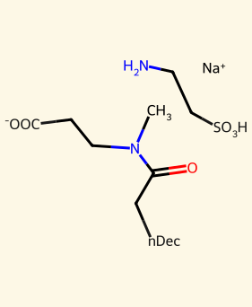 CCCCCCCCCCCC(=O)N(C)CCC(=O)[O-].NCCS(=O)(=O)O.[Na+]